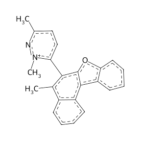 Cc1ccc(-c2c(C)c3ccccc3c3c2oc2ccccc23)[n+](C)n1